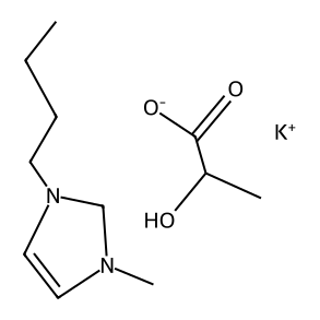 CC(O)C(=O)[O-].CCCCN1C=CN(C)C1.[K+]